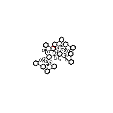 CC(C)(c1cc(CP2(=O)Oc3ccccc3-c3ccccc32)c(OP2(=O)Oc3ccccc3-c3ccccc32)c(CP2(=O)Oc3ccccc3-c3ccccc32)c1)c1cc(CP2(=O)Oc3ccccc3-c3ccccc32)c(OP2(=O)Oc3ccccc3-c3ccccc32)c(CP2(=O)Oc3ccccc3-c3ccccc32)c1